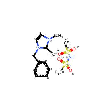 CC1N(C)C=CN1Cc1ccccc1.O=S(=O)(NS(=O)(=O)C(F)(F)F)C(F)(F)F